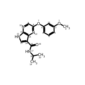 COc1cccc(Oc2cnc3[nH]cc(C(=O)NC(C)C)c3n2)c1